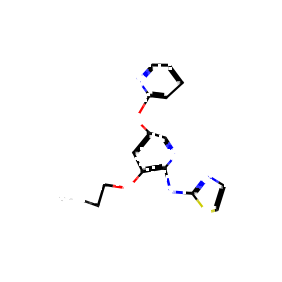 COCCOc1cc(Oc2ccccn2)cnc1Nc1nccs1